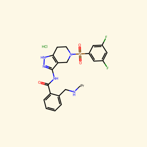 CC(C)NCc1ccccc1C(=O)Nc1n[nH]c2c1CN(S(=O)(=O)c1cc(F)cc(F)c1)CC2.Cl